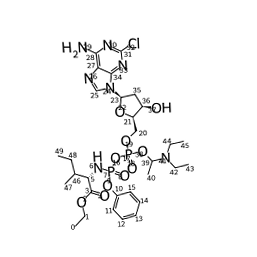 CCOC(=O)[C@@H](NP(=O)(Oc1ccccc1)OP(=O)(OC[C@H]1O[C@@H](n2cnc3c(N)nc(Cl)nc32)C[C@H]1O)OC(C)N(CC)CC)C(C)CC